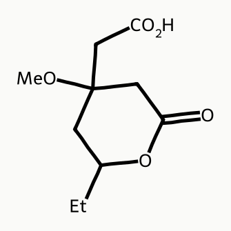 CCC1CC(CC(=O)O)(OC)CC(=O)O1